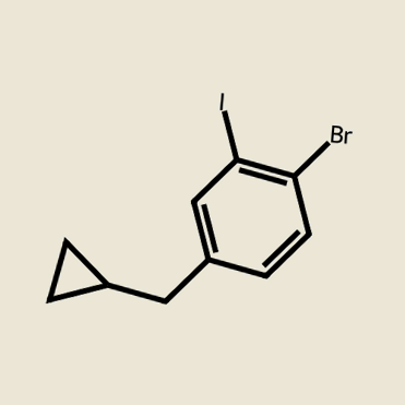 Brc1ccc(CC2CC2)cc1I